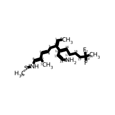 CC=C(C/C=C/C(C)=C/NSC)C(/C=C\N)=C/CCCC(C)(F)F